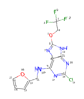 FC(F)(F)COc1nc2c(NCc3ccco3)nc(Cl)nc2[nH]1